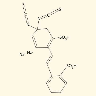 O=S(=O)(O)C1=C(C=Cc2ccccc2S(=O)(=O)O)C=CC(N=C=S)(N=C=S)C1.[Na].[Na]